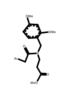 COC(=O)CCN(Cc1ccc(OC)cc1OC)C(=O)CC(C)=O